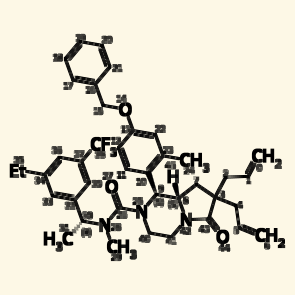 C=CCC1(CC=C)C[C@H]2[C@H](c3ccc(OCc4ccccc4)cc3C)N(C(=O)N(C)[C@H](C)c3cc(CC)cc(C(F)(F)F)c3)CCN2C1=O